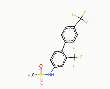 CS(=O)(=O)Nc1ccc(-c2ccc(C(F)(F)F)cc2)c(C(F)(F)F)c1